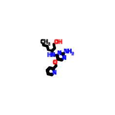 CCCC[C@@H](CCO)Nc1nc(N)ncc1OCc1ccccn1